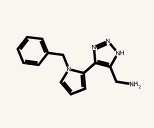 NCc1[nH]nnc1-c1cccn1Cc1ccccc1